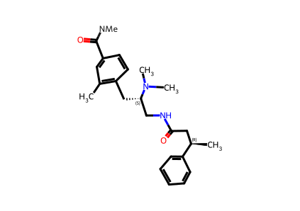 CNC(=O)c1ccc(C[C@@H](CNC(=O)C[C@@H](C)c2ccccc2)N(C)C)c(C)c1